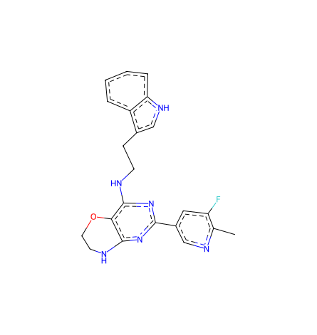 Cc1ncc(-c2nc3c(c(NCCc4c[nH]c5ccccc45)n2)OCCN3)cc1F